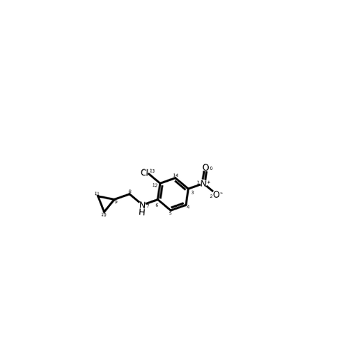 O=[N+]([O-])c1ccc(NCC2CC2)c(Cl)c1